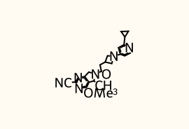 COc1nc(C#N)nc2c1C(C)N(C(=O)CC1CN(c3ccnc(C4CC4)c3)C1)C2